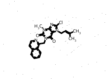 CC(C)=CCn1c(Cl)nc2c1c(=O)n(Cc1nccc3ccccc13)c(=O)n2C